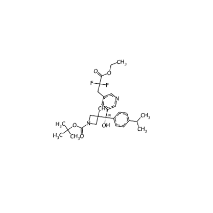 CCOC(=O)C(F)(F)Cc1cncc([C@@](O)(c2ccc(C(C)C)cc2)C2(C)CN(C(=O)OC(C)(C)C)C2)c1